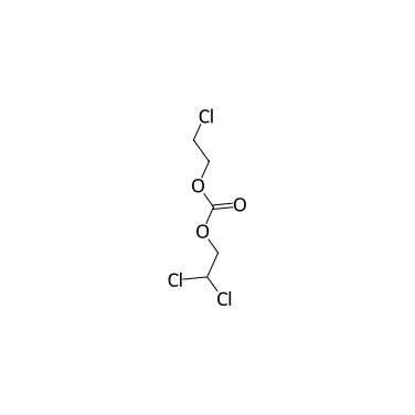 O=C(OCCCl)OCC(Cl)Cl